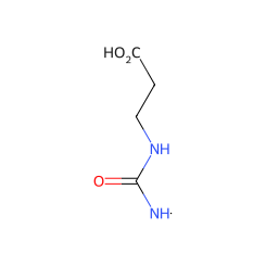 [NH]C(=O)NCCC(=O)O